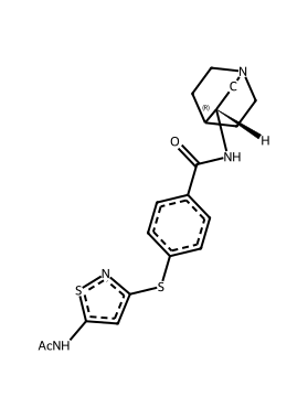 CC(=O)Nc1cc(Sc2ccc(C(=O)N[C@H]3CN4CCC3CC4)cc2)ns1